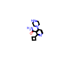 NC(=O)c1c(N2CCNCC2)ccnc1C1CCC1